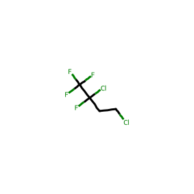 FC(F)(F)C(F)(Cl)CCCl